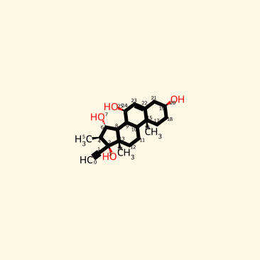 C#C[C@]1(O)[C@@H](C)[C@H](O)C2C3C(CC[C@@]21C)[C@@]1(C)CC[C@H](O)CC1=C[C@@H]3O